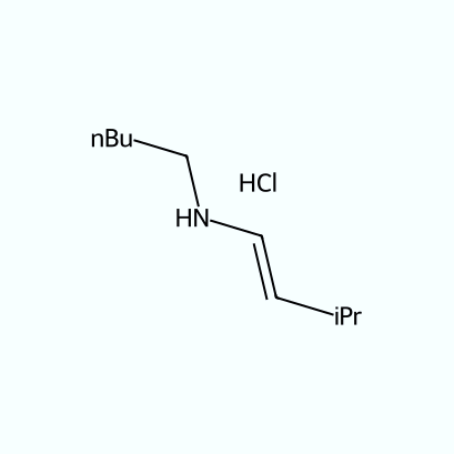 CCCCCN/C=C/C(C)C.Cl